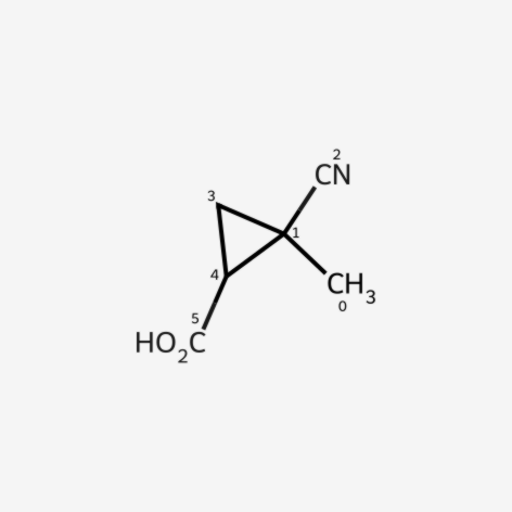 CC1(C#N)CC1C(=O)O